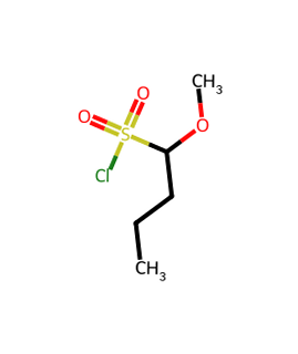 CCCC(OC)S(=O)(=O)Cl